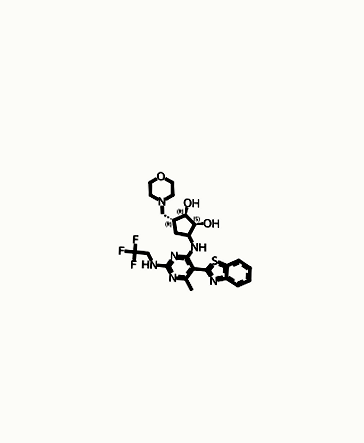 Cc1nc(NCC(F)(F)F)nc(NC2C[C@H](CN3CCOCC3)[C@@H](O)[C@H]2O)c1-c1nc2ccccc2s1